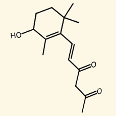 CC(=O)CC(=O)/C=C/C1=C(C)C(O)CCC1(C)C